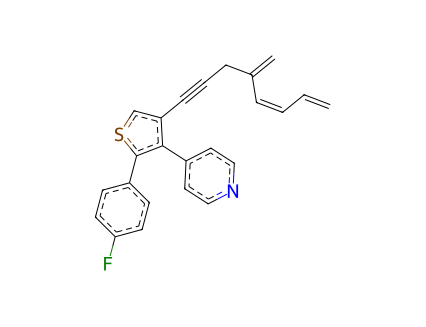 C=C/C=C\C(=C)CC#Cc1csc(-c2ccc(F)cc2)c1-c1ccncc1